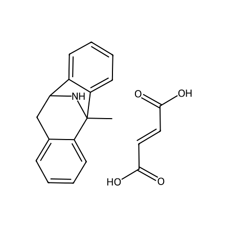 CC12NC(Cc3ccccc31)c1ccccc12.O=C(O)/C=C/C(=O)O